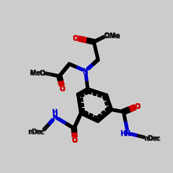 CCCCCCCCCCNC(=O)c1cc(C(=O)NCCCCCCCCCC)cc(N(CC(=O)OC)CC(=O)OC)c1